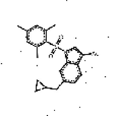 CC(=O)c1cn(S(=O)(=O)c2c(C)cc(C)cc2C)c2cc(CC3CC3)ccc12